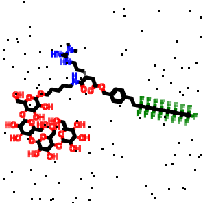 CN(C)C(=N)NCCC[C@H](CC(=O)OCc1ccc(CCC(F)(F)C(F)(F)C(F)(F)C(F)(F)C(F)(F)C(F)(F)C(F)(F)C(F)(F)F)cc1)C(=O)NCCCCCO[C@@H]1OC(CO)[C@@H](O[C@@H]2OC(CO)[C@@H](O[C@@H]3OC(CO)[C@@H](O[C@@H]4OC(CO)[C@@H](O)[C@H](O)C4O)[C@H](O)C3O)[C@H](O)C2O)[C@H](O)C1O